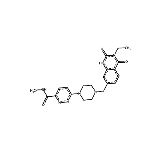 CCn1c(=O)[nH]c2cc(CN3CCN(c4ccc(C(=O)NC)nn4)CC3)ccc2c1=O